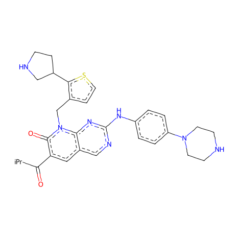 CC(C)C(=O)c1cc2cnc(Nc3ccc(N4CCNCC4)cc3)nc2n(Cc2ccsc2C2CCNC2)c1=O